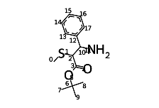 CSC(C(=O)OC(C)(C)C)C(N)c1ccccc1